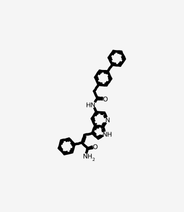 NC(=O)C(=Cc1c[nH]c2ncc(NC(=O)Cc3ccc(-c4ccccc4)cc3)cc12)c1ccccc1